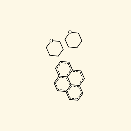 C1CCOCC1.C1CCOCC1.c1cc2ccc3cccc4ccc(c1)c2c34